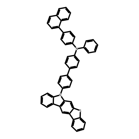 c1ccc(N(c2ccc(-c3ccc(-n4c5ccccc5c5cc6c(cc54)sc4ccccc46)cc3)cc2)c2ccc(-c3cccc4ccccc34)cc2)cc1